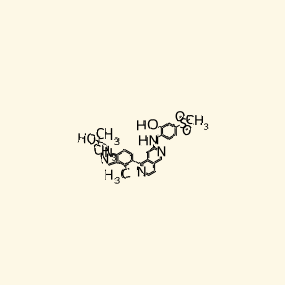 Cc1c(-c2nccc3cnc(Nc4ccc(S(C)(=O)=O)cc4O)cc23)ccc2c1cnn2CC(C)(C)O